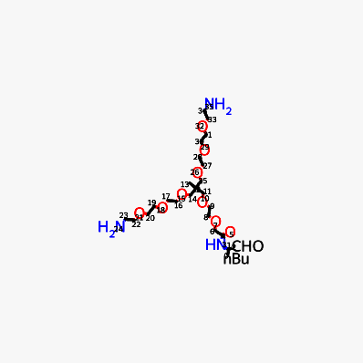 CCCCC(C=O)NC(=O)COCCOCC(C)(COCCOCCOCCN)COCCOCCOCCN